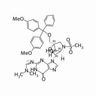 COc1ccc(C(OC[C@@]23CN(S(C)(=O)=O)[C@@H]([C@H](n4cnc5c(=O)[nH]c(/N=C\N(C)C)nc54)O2)[C@@H]3O)(c2ccccc2)c2ccc(OC)cc2)cc1